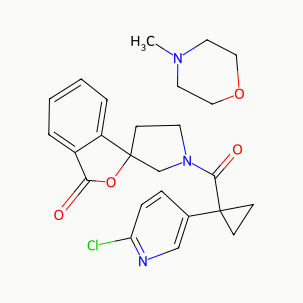 CN1CCOCC1.O=C1OC2(CCN(C(=O)C3(c4ccc(Cl)nc4)CC3)C2)c2ccccc21